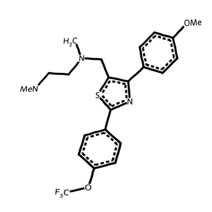 CNCCN(C)Cc1sc(-c2ccc(OC(F)(F)F)cc2)nc1-c1ccc(OC)cc1